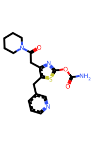 NC(=O)Oc1nc(CC(=O)N2CCCCC2)c(Cc2cccnc2)s1